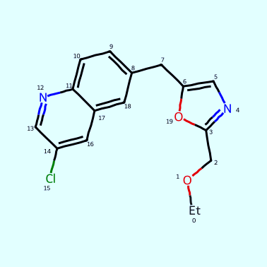 CCOCc1ncc(Cc2ccc3ncc(Cl)cc3c2)o1